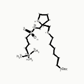 CCCCCCCCCCCCCCCCSCC1(CNS(=O)(=O)CCC[N+](C)(C)C)CCCO1